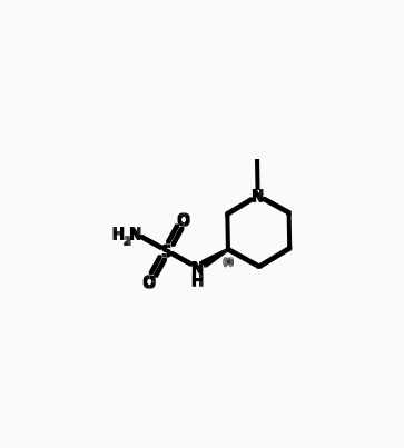 CN1CCC[C@@H](NS(N)(=O)=O)C1